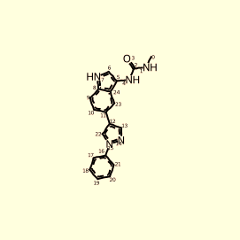 CNC(=O)Nc1c[nH]c2ccc(-c3cnn(-c4ccccc4)c3)cc12